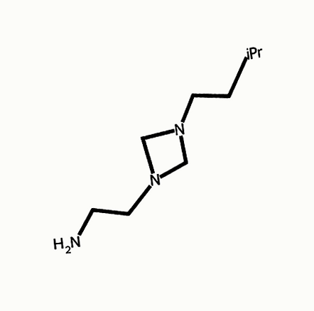 CC(C)CCN1CN(CCN)C1